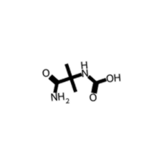 CC(C)(NC(=O)O)C(N)=O